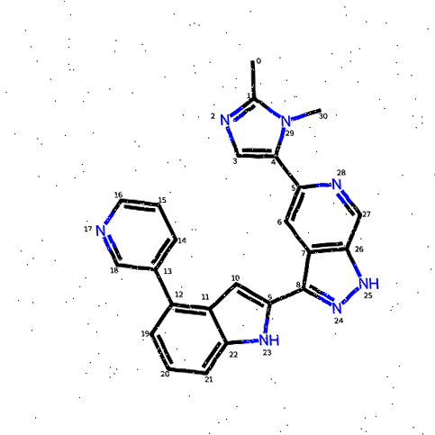 Cc1ncc(-c2cc3c(-c4cc5c(-c6cccnc6)cccc5[nH]4)n[nH]c3cn2)n1C